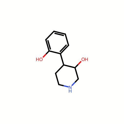 Oc1ccccc1C1CCNCC1O